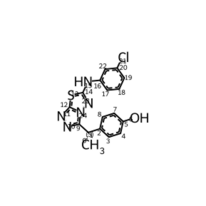 C[C@@H](c1ccc(O)cc1)c1nnc2sc(Nc3cccc(Cl)c3)nn12